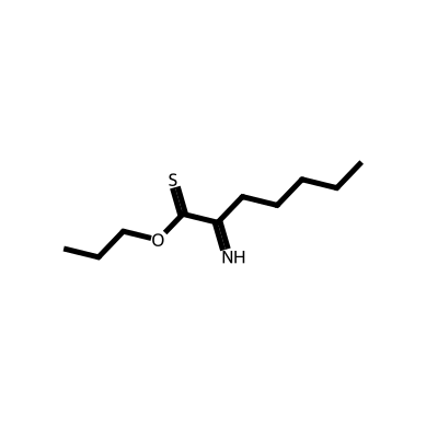 CCCCCC(=N)C(=S)OCCC